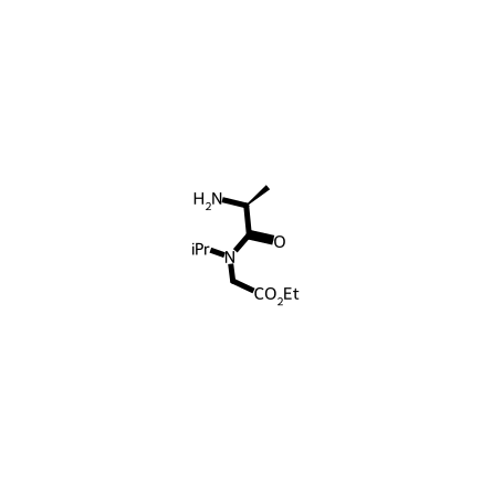 CCOC(=O)CN(C(=O)[C@H](C)N)C(C)C